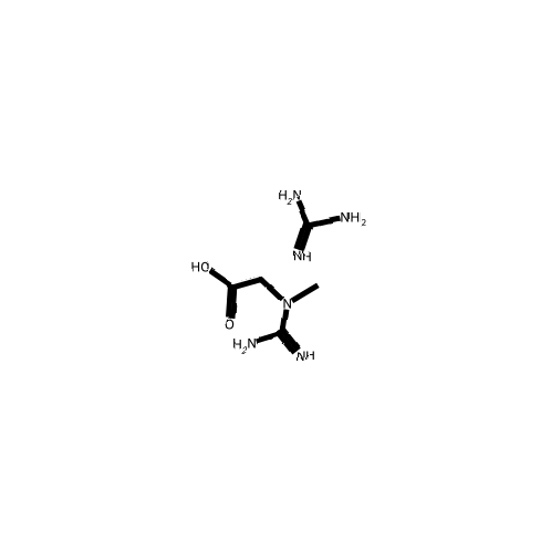 CN(CC(=O)O)C(=N)N.N=C(N)N